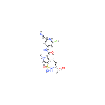 CC(O)C1CCc2c(cn(C)c2C(=O)Nc2cc(F)nc(C#N)c2)S(=N)(=O)N1